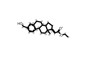 CCOC(=O)/C=C1\CCC2C3CCc4cc(CO)ccc4C3CCC12C